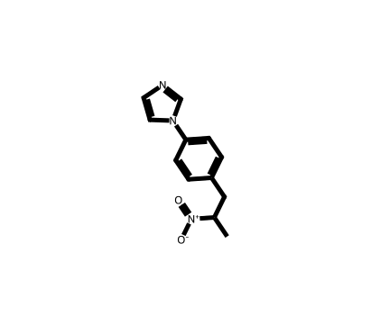 CC(Cc1ccc(-n2ccnc2)cc1)[N+](=O)[O-]